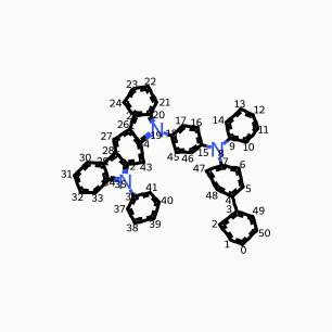 c1ccc(-c2ccc(N(c3ccccc3)c3ccc(-n4c5ccccc5c5cc6c7ccccc7n(-c7ccccc7)c6cc54)cc3)cc2)cc1